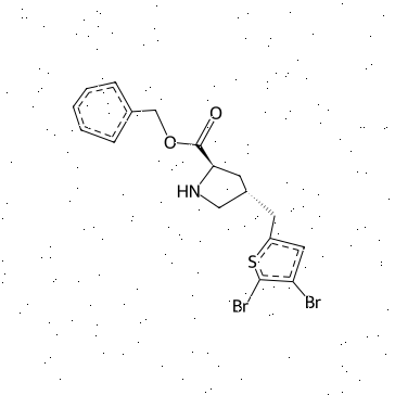 O=C(OCc1ccccc1)[C@H]1C[C@H](Cc2cc(Br)c(Br)s2)CN1